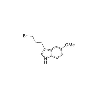 COc1ccc2[nH]cc(CCCBr)c2c1